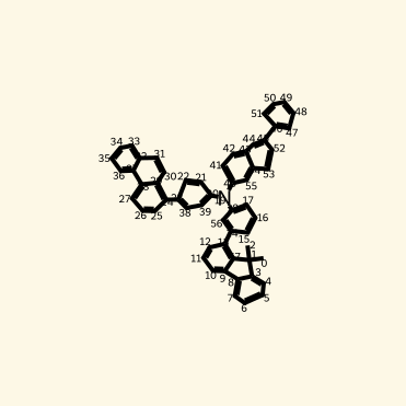 CC1(C)c2ccccc2-c2cccc(-c3cccc(N(c4ccc(-c5cccc6c5ccc5ccccc56)cc4)c4ccc5cc(-c6ccccc6)ccc5c4)c3)c21